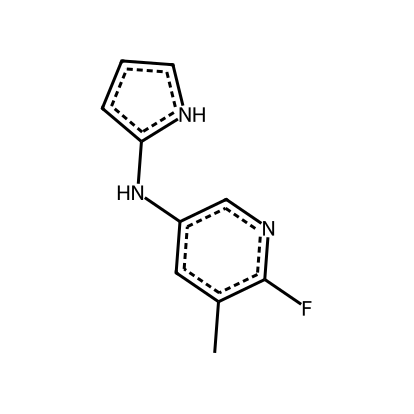 Cc1cc(Nc2ccc[nH]2)cnc1F